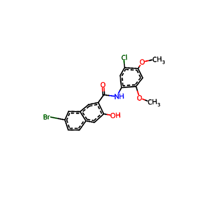 COc1cc(OC)c(NC(=O)c2cc3cc(Br)ccc3cc2O)cc1Cl